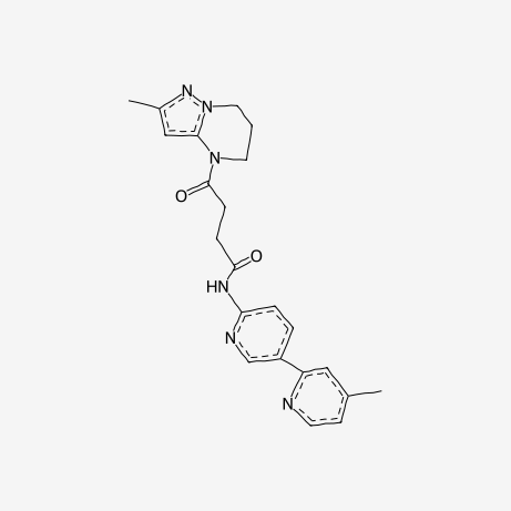 Cc1ccnc(-c2ccc(NC(=O)CCC(=O)N3CCCn4nc(C)cc43)nc2)c1